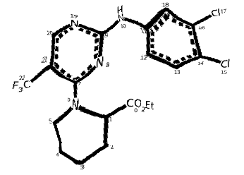 CCOC(=O)C1CCCCN1c1nc(Nc2ccc(Cl)c(Cl)c2)ncc1C(F)(F)F